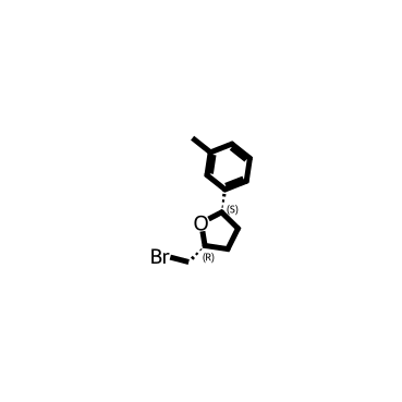 Cc1cccc([C@@H]2CC[C@H](CBr)O2)c1